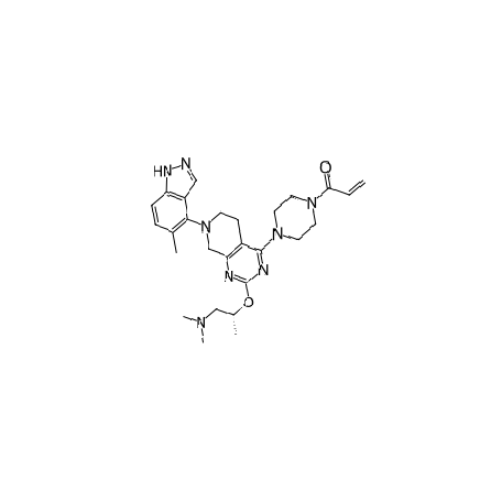 C=CC(=O)N1CCN(c2nc(O[C@H](C)CN(C)C)nc3c2CCN(c2c(C)ccc4[nH]ncc24)C3)CC1